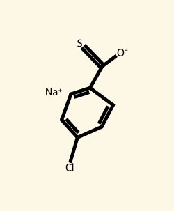 [Na+].[O-]C(=S)c1ccc(Cl)cc1